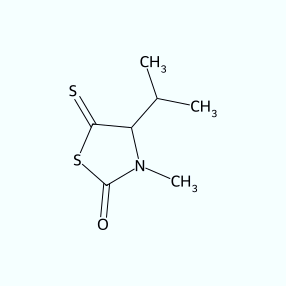 CC(C)C1C(=S)SC(=O)N1C